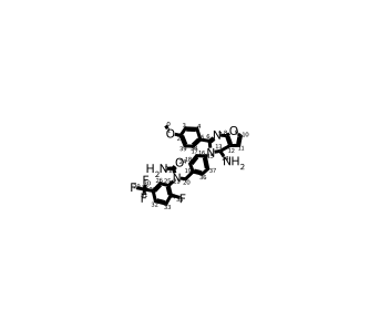 COc1ccc(C2=Nc3occc3C(N)N2c2ccc(CN(C(N)=O)c3cc(C(F)(F)F)ccc3F)cc2)cc1